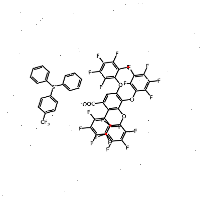 FC(F)(F)c1ccc([S+](c2ccccc2)c2ccccc2)cc1.O=C([O-])c1cc(Oc2c(F)c(F)c(F)c(F)c2F)c(Oc2c(F)c(F)c(F)c(F)c2F)c(Oc2c(F)c(F)c(F)c(F)c2F)c1-c1c(F)c(F)c(F)c(F)c1F